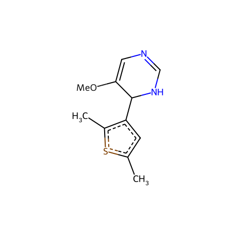 COC1=CN=CNC1c1cc(C)sc1C